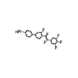 CCCc1ccc(-c2ccc(C(F)=C(F)c3cc(F)c(F)c(F)c3)c(F)c2)cc1